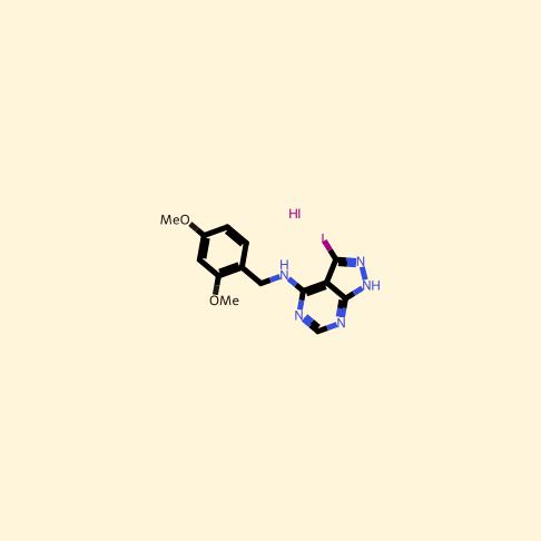 COc1ccc(CNc2ncnc3[nH]nc(I)c23)c(OC)c1.I